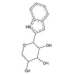 OC1COC(c2cc3ccccc3[nH]2)C(O)C1O